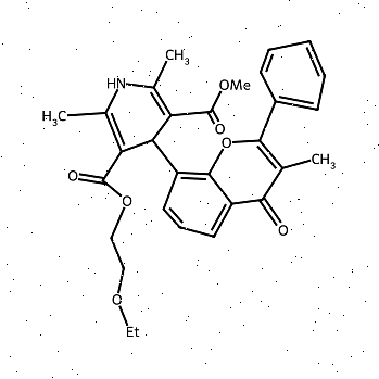 CCOCCOC(=O)C1=C(C)NC(C)=C(C(=O)OC)C1c1cccc2c(=O)c(C)c(-c3ccccc3)oc12